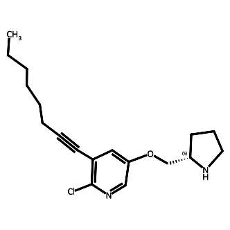 CCCCCCC#Cc1cc(OC[C@@H]2CCCN2)cnc1Cl